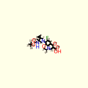 C[C@H]1COc2c(N3CC4(CC4)C(C)(NC(=O)OC(C)(C)C)C3)c(F)cc3c(=O)c(C(=O)O)cn1c23